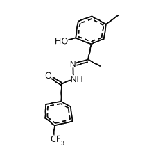 C/C(=N\NC(=O)c1ccc(C(F)(F)F)cc1)c1cc(C)ccc1O